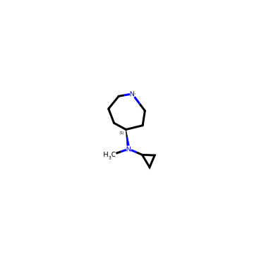 CN(C1CC1)[C@H]1CCC[N]CC1